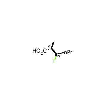 CCC[C@@H](F)[C@@H](C)C(=O)O